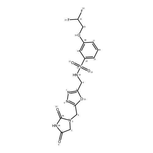 O=C1CN(Cc2nnc(CNS(=O)(=O)c3cccc(OCC(F)F)c3)o2)C(=O)N1